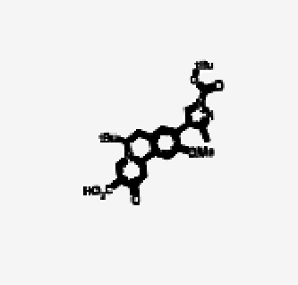 COc1cc2c(cc1-c1cn(C(=O)OC(C)(C)C)nc1C)CC(C(C)(C)C)n1cc(C(=O)O)c(=O)cc1-2